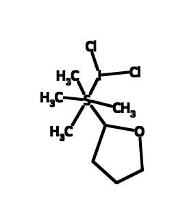 CS(C)(C)(C)(C1CCCO1)I(Cl)Cl